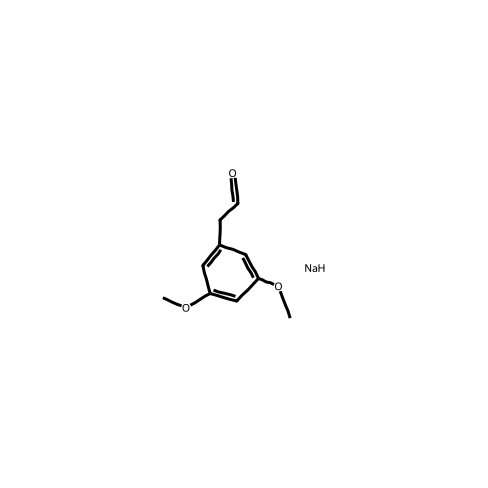 COc1cc(CC=O)cc(OC)c1.[NaH]